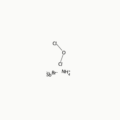 ClOCl.[Br-].[NH4+].[Sb]